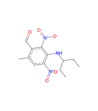 CCC(CC)Nc1c([N+](=O)[O-])cc(C)c(C=O)c1[N+](=O)[O-]